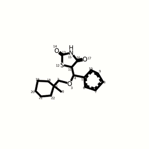 CC1(COC(c2ccccc2)C2SC(=O)NC2=O)CCCCC1